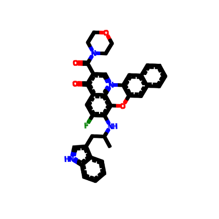 CC(Cc1c[nH]c2ccccc12)Nc1c(F)cc2c(=O)c(C(=O)N3CCOCC3)cn3c2c1Oc1cc2ccccc2cc1-3